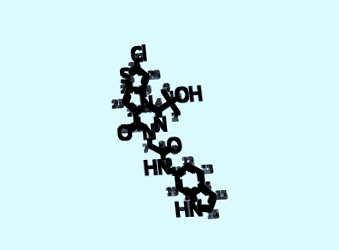 CC(C)(O)c1nn(CC(=O)Nc2ccc3cc[nH]c3c2)c(=O)c2cc3sc(Cl)cc3n12